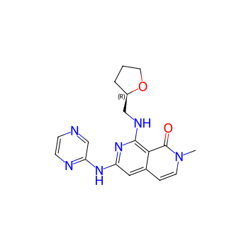 Cn1ccc2cc(Nc3cnccn3)nc(NC[C@H]3CCCO3)c2c1=O